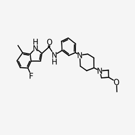 COC1CN(C2CCN(c3cccc(NC(=O)c4cc5c(F)ccc(C)c5[nH]4)c3)CC2)C1